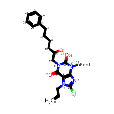 C=CCn1c(Cl)nc2c1c(=O)n(CC(O)CCCCc1ccccc1)c(=O)n2CCCCC